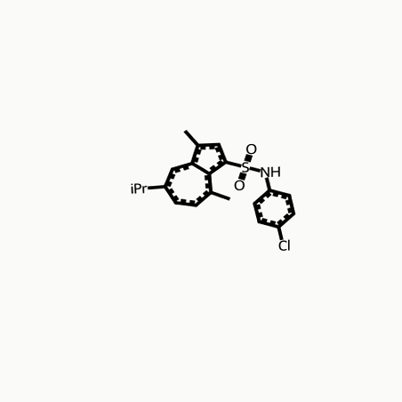 Cc1cc(S(=O)(=O)Nc2ccc(Cl)cc2)c2c(C)ccc(C(C)C)cc1-2